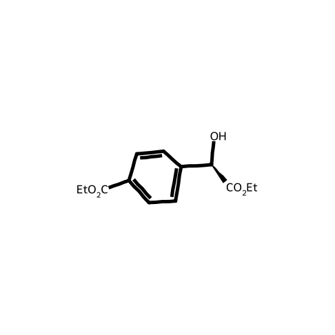 CCOC(=O)c1ccc([C@@H](O)C(=O)OCC)cc1